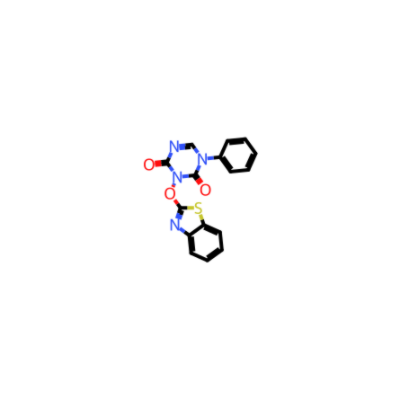 O=c1ncn(-c2ccccc2)c(=O)n1Oc1nc2ccccc2s1